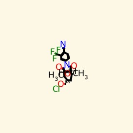 CC12C[C@@H](COCl)C(C)(O1)[C@@H]1C(=O)N(c3ccc(C#N)c(C(F)(F)F)c3)C(=O)[C@@H]12